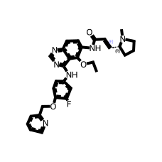 CCOc1c(NC(=O)/C=C/[C@H]2CCCN2C)ccc2ncnc(Nc3ccc(OCc4ccccn4)c(F)c3)c12